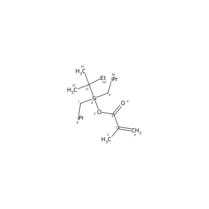 C=C(C)C(=O)O[Si](CC(C)C)(CC(C)C)C(C)(C)CC